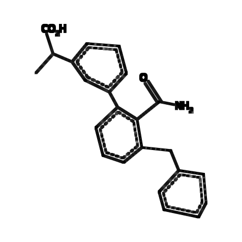 CC(C(=O)O)c1cccc(-c2cccc(Cc3ccccc3)c2C(N)=O)c1